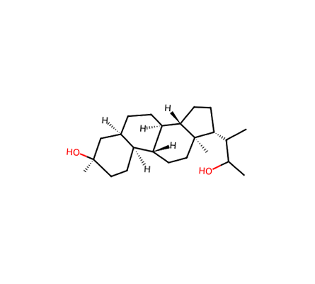 CC(O)C(C)[C@H]1CC[C@H]2[C@@H]3CC[C@@H]4C[C@](C)(O)CC[C@@H]4[C@H]3CC[C@]12C